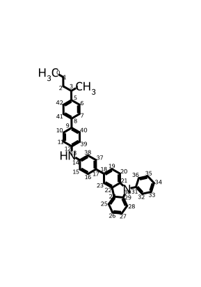 CCCC(C)c1ccc(-c2ccc(Nc3ccc(-c4ccc5c(c4)c4ccccc4n5-c4ccccc4)cc3)cc2)cc1